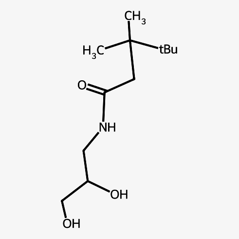 CC(C)(C)C(C)(C)CC(=O)NCC(O)CO